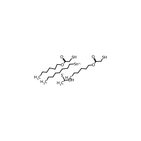 CC(O)[S-].CCCCCCC[CH2][Sn+].CCCCCCOC(=O)CS.CCCCCCOC(=O)CS